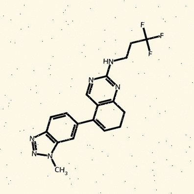 Cn1nnc2ccc(C3=CCCc4nc(NCCC(F)(F)F)ncc43)cc21